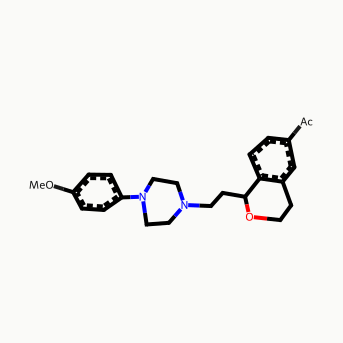 COc1ccc(N2CCN(CCC3OCCc4cc(C(C)=O)ccc43)CC2)cc1